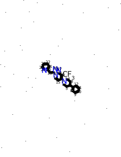 FC(F)(F)c1c(N2CCC(c3ccccc3)CC2)ccn2c(Cc3ccccn3)nnc12